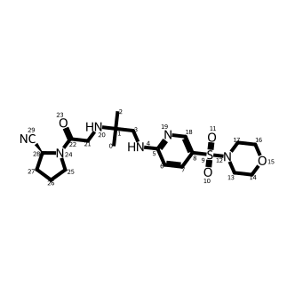 CC(C)(CNc1ccc(S(=O)(=O)N2CCOCC2)cn1)NCC(=O)N1CCC[C@H]1C#N